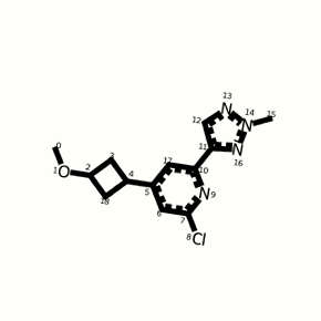 COC1CC(c2cc(Cl)nc(-c3cnn(C)n3)c2)C1